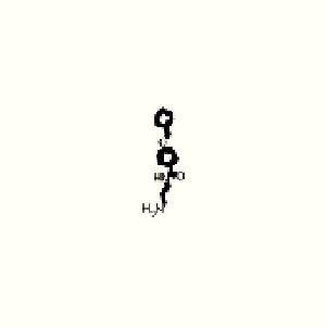 NCCCNC(=O)c1ccc(OCC2CCCCC2)cc1